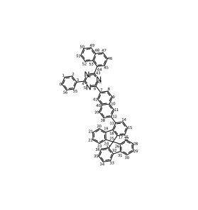 c1ccc(-c2nc(-c3ccc4cc(-c5cccc6c5-c5ccccc5C65c6ccccc6-c6ccccc65)ccc4c3)nc(-c3cccc4ccccc34)n2)cc1